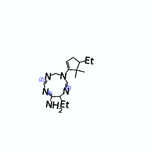 CCC1/N=C\N(C2=CCC(CC)C2(C)C)C/N=C\N=C/1N